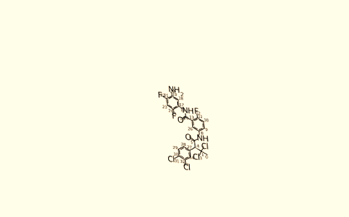 CC(Cl)(Cl)[C@H](C(=O)Nc1ccc(F)c(C(=O)Nc2cc(N)c(F)cc2F)c1)c1ccc(Cl)c(Cl)c1